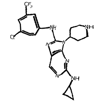 FC(F)(F)c1cc(Cl)cc(Nc2nc3cnc(NC4CC4)nc3n2C2CCNCC2)c1